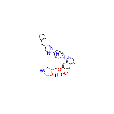 COc1cc2ncnc(N3CC4CCCC3CN4c3ncc(Cc4ccccc4)cn3)c2cc1OCC1CNCCO1